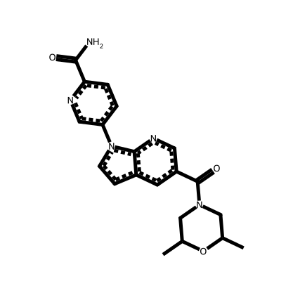 CC1CN(C(=O)c2cnc3c(ccn3-c3ccc(C(N)=O)nc3)c2)CC(C)O1